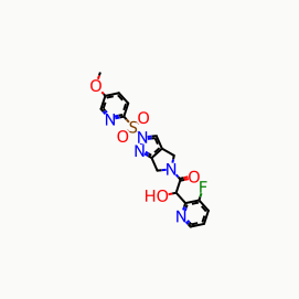 COc1ccc(S(=O)(=O)n2cc3c(n2)CN(C(=O)C(O)c2ncccc2F)C3)nc1